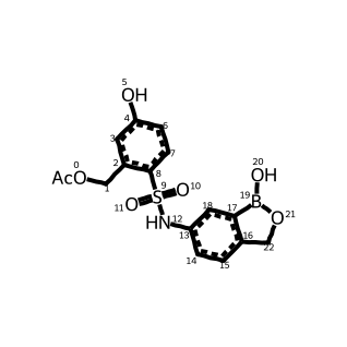 CC(=O)OCc1cc(O)ccc1S(=O)(=O)Nc1ccc2c(c1)B(O)OC2